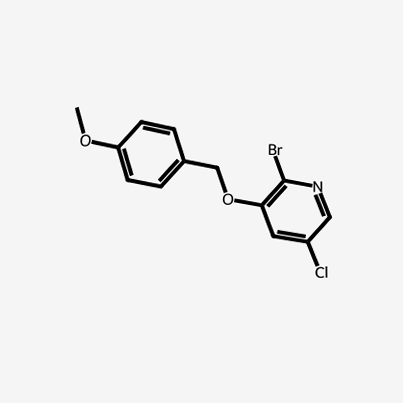 COc1ccc(COc2cc(Cl)cnc2Br)cc1